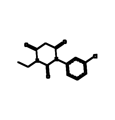 CCN1C(=O)CC(=O)N(c2cccc(Cl)c2)C1=O